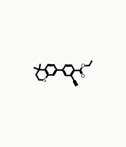 C#Cc1cc(-c2ccc3c(c2)SCCC3(C)C)ccc1C(=O)OCC